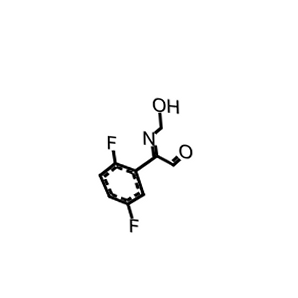 O=C/C(=N\CO)c1cc(F)ccc1F